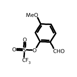 COc1ccc(C=O)c(OS(=O)(=O)C(F)(F)F)c1